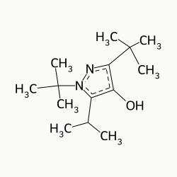 CC(C)c1c(O)c(C(C)(C)C)nn1C(C)(C)C